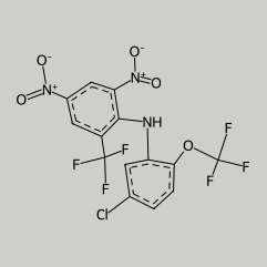 O=[N+]([O-])c1cc([N+](=O)[O-])c(Nc2cc(Cl)ccc2OC(F)(F)F)c(C(F)(F)F)c1